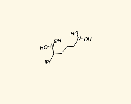 CC(C)C(CCCN(O)O)N(O)O